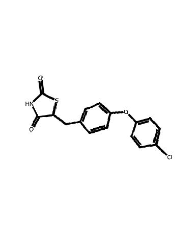 O=C1NC(=O)C(Cc2ccc(Oc3ccc(Cl)cc3)cc2)S1